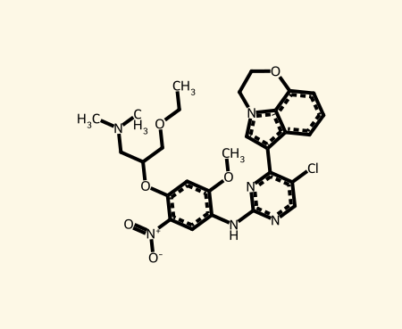 CCOCC(CN(C)C)Oc1cc(OC)c(Nc2ncc(Cl)c(-c3cn4c5c(cccc35)OCC4)n2)cc1[N+](=O)[O-]